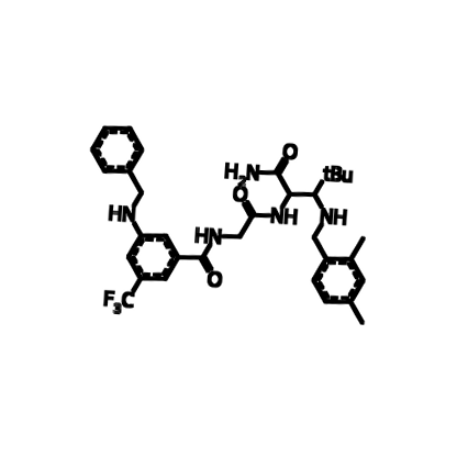 Cc1ccc(CNC(C(NC(=O)CNC(=O)c2cc(NCc3ccccc3)cc(C(F)(F)F)c2)C(N)=O)C(C)(C)C)c(C)c1